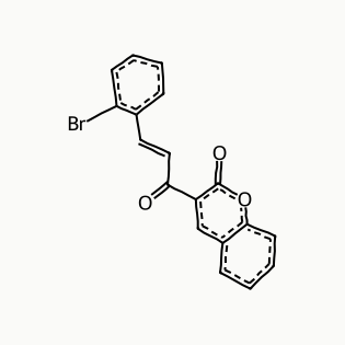 O=C(C=Cc1ccccc1Br)c1cc2ccccc2oc1=O